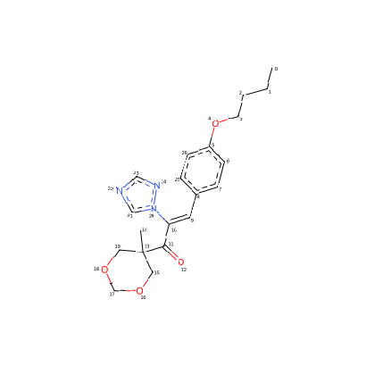 CCCCOc1ccc(C=C(C(=O)C2(C)COCOC2)n2cncn2)cc1